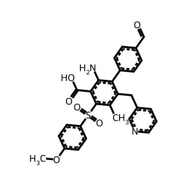 COc1ccc(S(=O)(=O)c2c(C)c(Cc3cccnc3)c(-c3ccc(C=O)cc3)c(N)c2C(=O)O)cc1